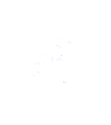 CNCC1CSC(C(=O)N[C@@H]2C[C@@H](C(=O)N(C)C)CC[C@@H]2NC(=O)C(=O)Nc2ccc(Cl)cn2)=C1Cl